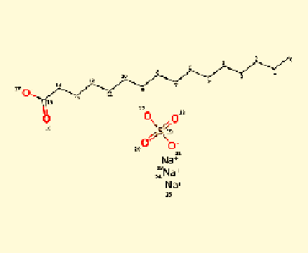 CCCCCCCCCCCCCCCC(=O)[O-].O=S(=O)([O-])[O-].[Na+].[Na+].[Na+]